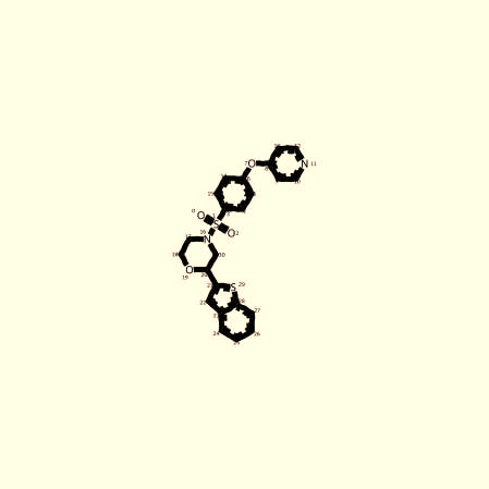 O=S(=O)(c1ccc(Oc2ccncc2)cc1)N1CCOC(c2cc3ccccc3s2)C1